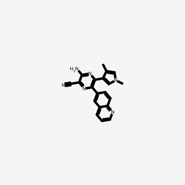 Cc1cn(C)cc1-c1nc(N)c(C#N)nc1-c1ccc2ncccc2c1